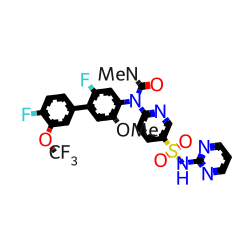 CNC(=O)N(c1ccc(S(=O)(=O)Nc2ncccn2)cn1)c1cc(F)c(-c2ccc(F)c(OC(F)(F)F)c2)cc1OC